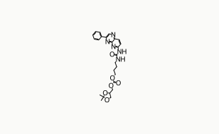 CC1(C)OCC(COC(=O)OCCCCNC(=O)Nc2ccc3ncc(-c4ccccc4)nc3n2)O1